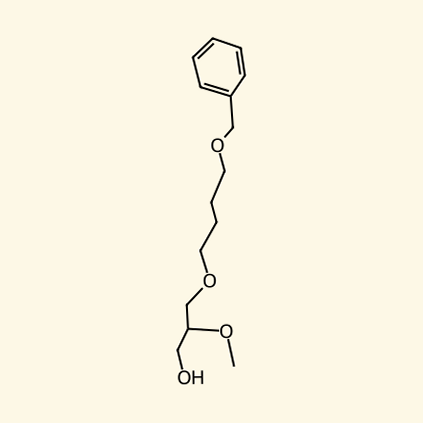 COC(CO)COCCCCOCc1ccccc1